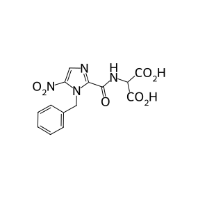 O=C(NC(C(=O)O)C(=O)O)c1ncc([N+](=O)[O-])n1Cc1ccccc1